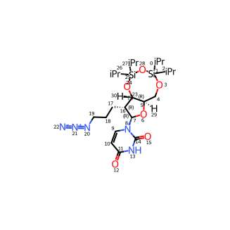 CC(C)[Si]1(C(C)C)OC[C@H]2O[C@@H](n3ccc(=O)[nH]c3=O)[C@H](CCCN=[N+]=[N-])[C@@H]2O[Si](C(C)C)(C(C)C)O1